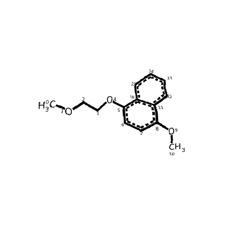 COCCOc1ccc(OC)c2ccccc12